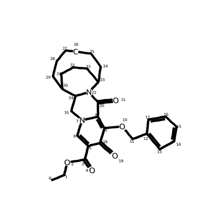 CCOC(=O)c1cn2c(c(OCc3ccccc3)c1=O)C(=O)N1C3CCCCCCC(CCC3)C1C2